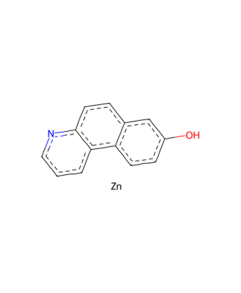 Oc1ccc2c(ccc3ncccc32)c1.[Zn]